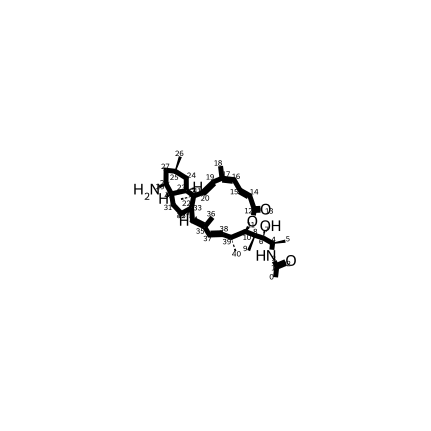 CC(=O)N[C@H](C)[C@@H](O)[C@@H](C)[C@@H]1OC(=O)/C=C/C=C(C)\C=C\[C@]2(C)[C@@H]3C[C@H](C)C[C@H](N)[C@@H]3CC[C@@H]2/C=C(C)/C=C/[C@H]1C